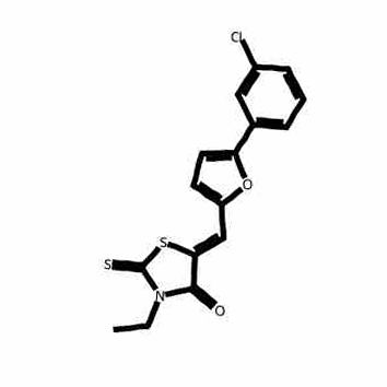 CCN1C(=O)/C(=C/c2ccc(-c3cccc(Cl)c3)o2)SC1=S